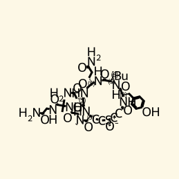 CC[C@H](C)[C@@H]1NC(=O)[C@@H](Cc2ccc(O)cc2)NC(=O)CC[S+]([O-])CC[C@@H](C(=O)N(C)CC(=O)NC(C)(C)C(=O)NCC(N)=O)NC(=O)[C@H](CC(N)=O)NC(=O)[C@H](CCC(N)=O)NC1=O